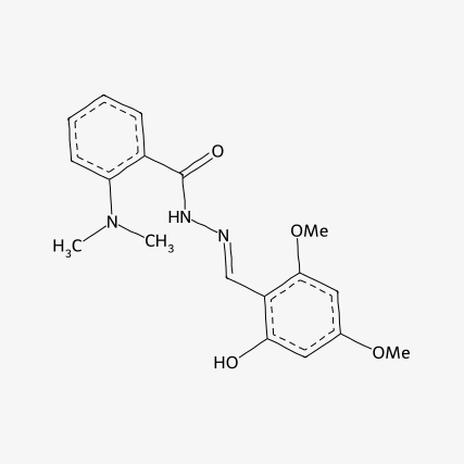 COc1cc(O)c(C=NNC(=O)c2ccccc2N(C)C)c(OC)c1